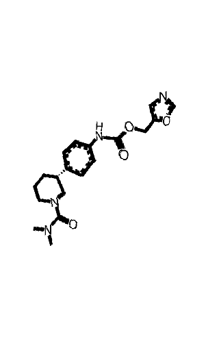 CN(C)C(=O)N1CCC[C@H](c2ccc(NC(=O)OCc3cnco3)cc2)C1